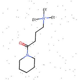 CC[N+](CC)(CC)CCCC(=O)N1CCCCC1